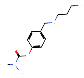 CN(C)C(=O)Oc1ccc(CNCCCO)cc1